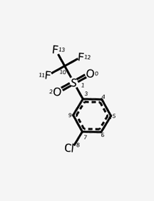 O=S(=O)(c1c[c]cc(Cl)c1)C(F)(F)F